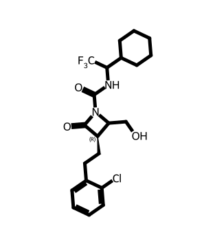 O=C(NC(C1CCCCC1)C(F)(F)F)N1C(=O)[C@H](CCc2ccccc2Cl)C1CO